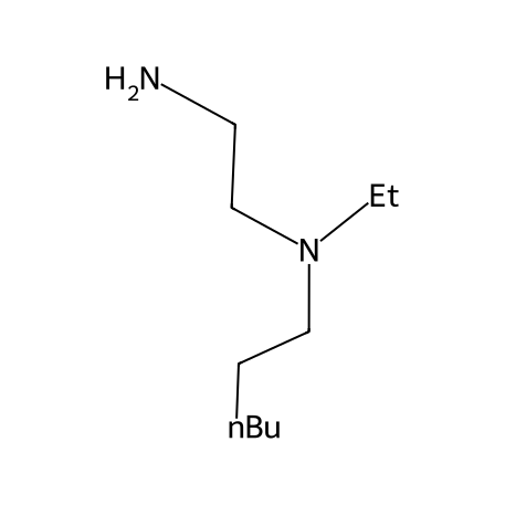 CCCCCCN(CC)CCN